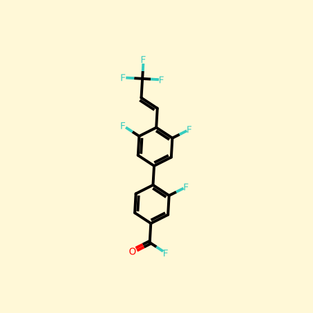 O=C(F)c1ccc(-c2cc(F)c(/C=C/C(F)(F)F)c(F)c2)c(F)c1